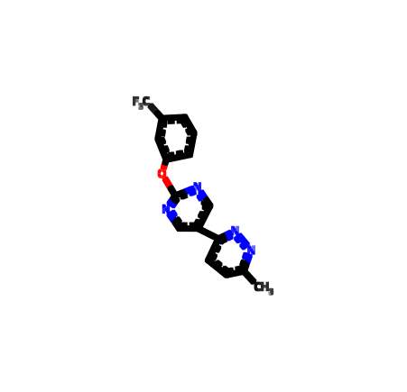 Cc1ccc(-c2cnc(Oc3cccc(C(F)(F)F)c3)nc2)nn1